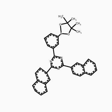 CC1(C)OB(c2cccc(-c3nc(-c4ccc5ccccc5c4)nc(-c4ccc5ccccc5c4)n3)c2)OC1(C)C